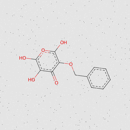 O=c1c(O)c(O)oc(O)c1OCc1ccccc1